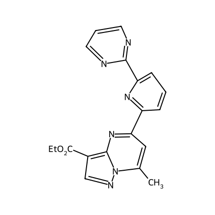 CCOC(=O)c1cnn2c(C)cc(-c3cccc(-c4ncccn4)n3)nc12